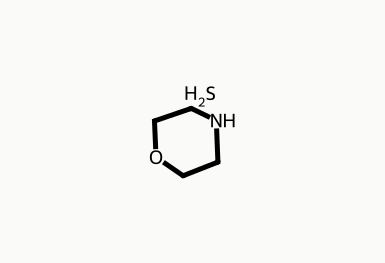 C1COCCN1.S